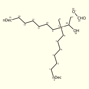 CCCCCCCCCCCCCCCC[N+](C)(CCCCCCCCCCCCCCCC)C(C)O.O=C[O-]